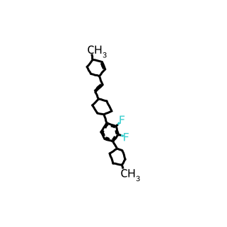 CC1C=CC(/C=C/C2CCC(c3ccc(C4CCC(C)CC4)c(F)c3F)CC2)CC1